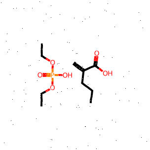 C=C(CCC)C(=O)O.CCOP(=O)(O)OCC